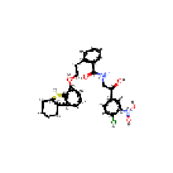 O=C(CNC(=O)c1ccccc1CCOc1cccc2c3c(sc12)CCCC3)c1ccc(Cl)c([N+](=O)[O-])c1